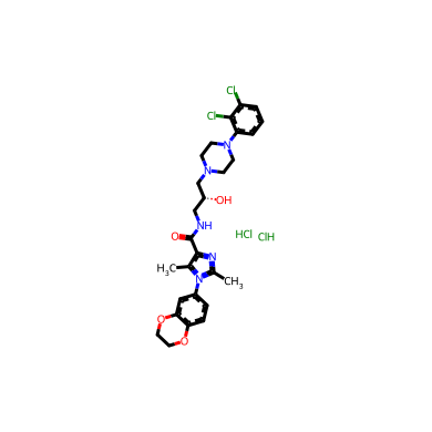 Cc1nc(C(=O)NC[C@@H](O)CN2CCN(c3cccc(Cl)c3Cl)CC2)c(C)n1-c1ccc2c(c1)OCCO2.Cl.Cl